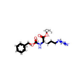 COC(=O)[C@H](CCCN=[N+]=[N-])NC(=O)OCc1ccccc1